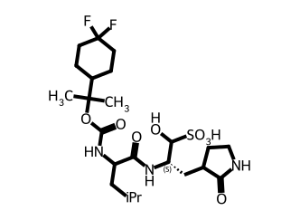 CC(C)CC(NC(=O)OC(C)(C)C1CCC(F)(F)CC1)C(=O)N[C@@H](CC1CCNC1=O)C(O)S(=O)(=O)O